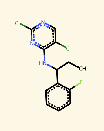 CCC(Nc1nc(Cl)ncc1Cl)c1ccccc1F